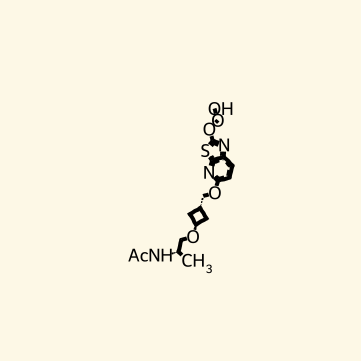 CC(=O)N[C@@H](C)CO[C@H]1C[C@H](COc2ccc3nc(OOO)sc3n2)C1